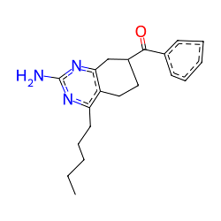 CCCCCc1nc(N)nc2c1CCC(C(=O)c1ccccc1)C2